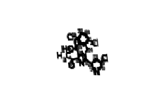 CC(=O)c1nc(-c2cncc(Cl)c2)n(Cc2cc(Cl)ccc2Cl)c1C(=O)O